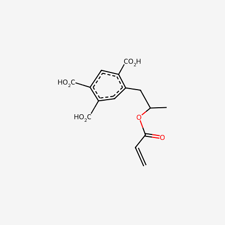 C=CC(=O)OC(C)Cc1cc(C(=O)O)c(C(=O)O)cc1C(=O)O